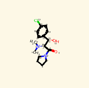 CN(C)[C@@H](C(=O)N1CCCC1)[C@@H](O)c1ccc(Cl)cc1